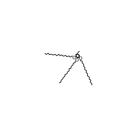 CCCCCCCCCCCCCCCCCOc1cc(CC)cc(OCCCCCCCCCCCCCCCCC)c1OCCCCCCCCCCCCCCCCC